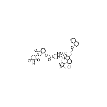 Cc1nn(C)c(C)c1-c1c(Cl)ccc2c(CCCOc3cccc4ccccc34)c(C(=O)O)n(CCN3CCN(C(=O)COc4cccc5c4CN(C4CCC(=O)NC4=O)C5=O)CC3)c12